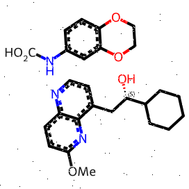 COc1ccc2nccc(C[C@H](O)C3CCCCC3)c2n1.O=C(O)Nc1ccc2c(c1)OCCO2